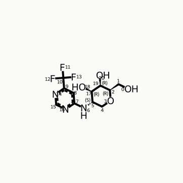 OC[C@H]1OC[C@H](Nc2cc(C(F)(F)F)ncn2)[C@@H](O)[C@H]1O